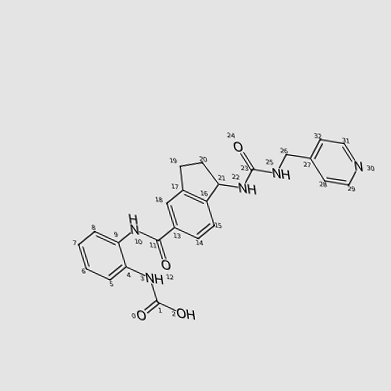 O=C(O)Nc1ccccc1NC(=O)c1ccc2c(c1)CCC2NC(=O)NCc1ccncc1